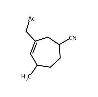 CC(=O)CC1=CC(C)CCC(C#N)C1